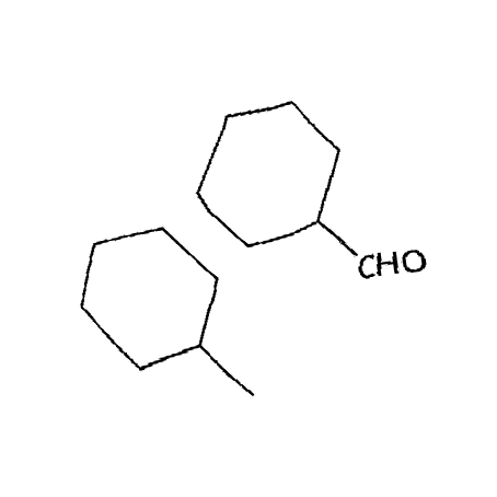 CC1CCCCC1.O=CC1CCCCC1